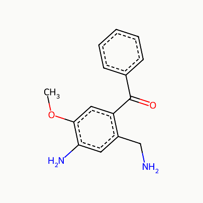 COc1cc(C(=O)c2ccccc2)c(CN)cc1N